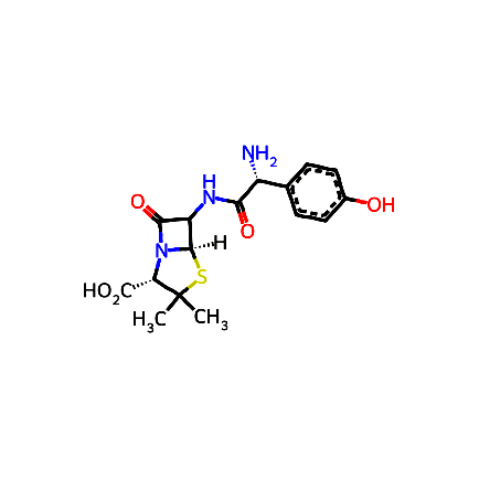 CC1(C)S[C@@H]2C(NC(=O)[C@H](N)c3ccc(O)cc3)C(=O)N2[C@H]1C(=O)O